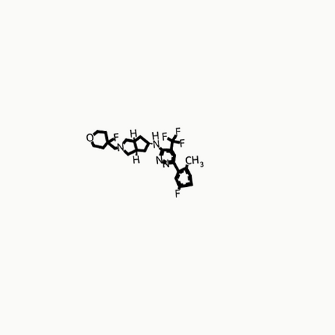 Cc1ccc(F)cc1-c1cc(C(F)(F)F)c(N[C@@H]2C[C@@H]3CN(CC4(F)CCOCC4)C[C@@H]3C2)nn1